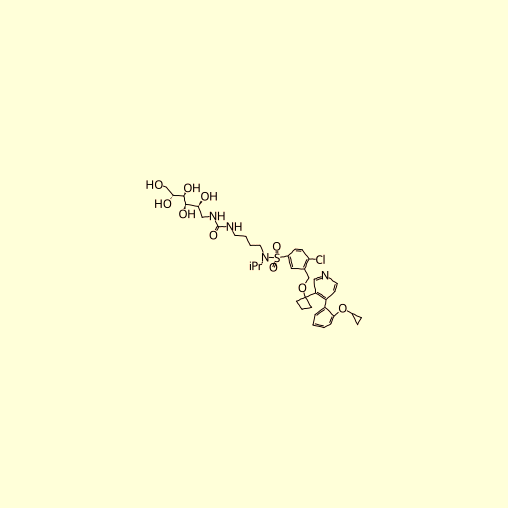 CC(C)N(CCCCNC(=O)NC[C@H](O)[C@@H](O)[C@H](O)[C@H](O)CO)S(=O)(=O)c1ccc(Cl)c(COC2(c3cnccc3-c3ccccc3OC3CC3)CCC2)c1